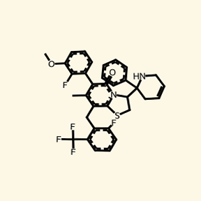 COc1cccc(-c2c(C)c(Cc3c(F)cccc3C(F)(F)F)c3n(c2=O)C(C2(c4ccccc4)CC=CCN2)CS3)c1F